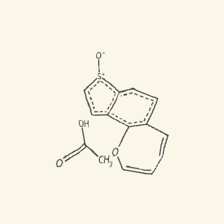 CC(=O)O.[O-][s+]1ccc2c3c(ccc21)C=CC=CO3